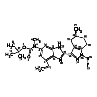 C=Cc1cc(N(C)C(=O)OC(C)(C)C)cc2[nH]c(-c3nn(SF)c4c3C[C@@H](C)CC4)nc12